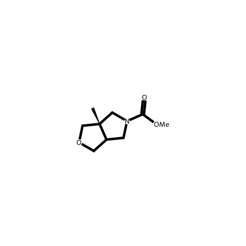 COC(=O)N1CC2COC[C@]2(C)C1